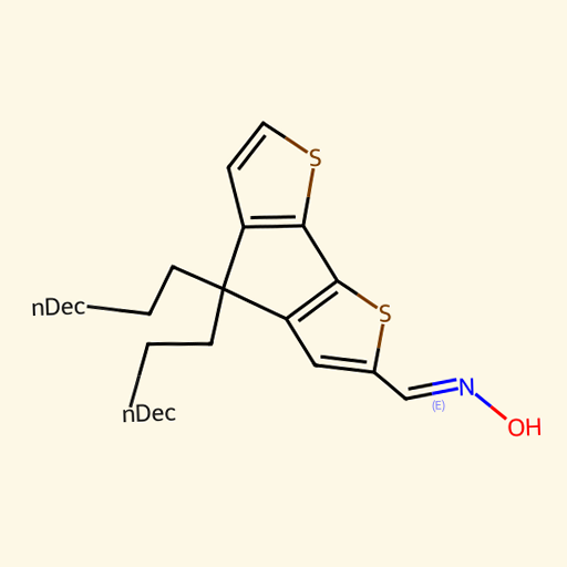 CCCCCCCCCCCCC1(CCCCCCCCCCCC)c2ccsc2-c2sc(/C=N/O)cc21